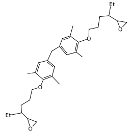 CCC(CCCOc1c(C)cc(Cc2cc(C)c(OCCCC(CC)C3CO3)c(C)c2)cc1C)C1CO1